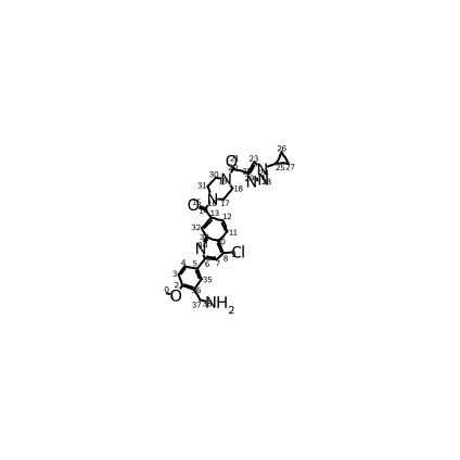 COc1ccc(-c2cc(Cl)c3ccc(C(=O)N4CCN(C(=O)c5cn(C6CC6)nn5)CC4)cc3n2)cc1CN